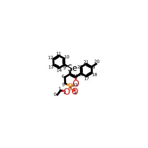 CCOP1(=O)CCC([Se]c2ccccc2)=C(c2ccc(C)cc2)O1